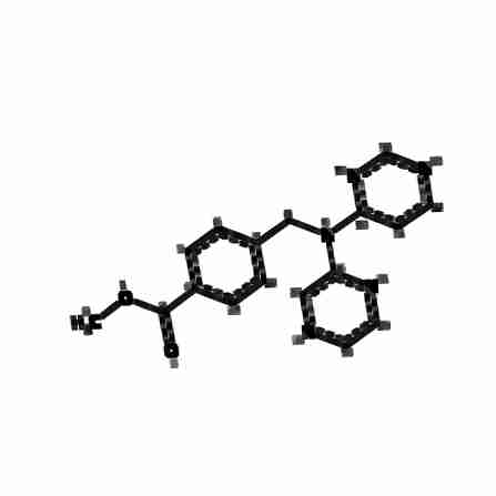 COC(=O)c1ccc(CN(c2ccncn2)c2cnccn2)cc1